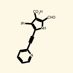 CC(C)c1c(C#Cc2ccccn2)[nH]c(C=O)c1C(=O)O